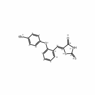 CC(C)(C)c1ccc(Oc2ccccc2/C=C2\SC(=S)NC2=O)cc1